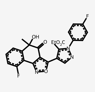 CCOC(=O)c1c(-c2onc3c2C(=O)C(C)(O)c2cccc(F)c2-3)cnn1-c1ccc(F)cc1